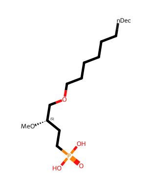 CCCCCCCCCCCCCCCCOC[C@H](CCP(=O)(O)O)OC